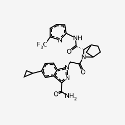 NC(=O)c1nn(CC(=O)N2C3CCC(C3)[C@H]2C(=O)Nc2cccc(C(F)(F)F)n2)c2ccc(C3CC3)cc12